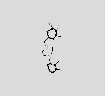 Cc1cccc(N2CCN(Cc3cc(C)c(O)c(Br)c3)CC2)c1C